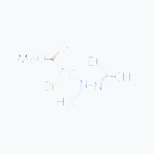 CC/C(C)=N\N(C)CC(Br)C(=O)OC